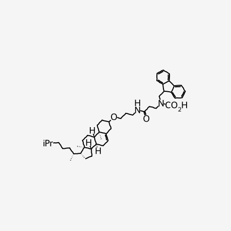 CC(C)CCC[C@@H](C)[C@H]1CC[C@H]2[C@@H]3CC=C4CC(OCCCNC(=O)CCN(CC5c6ccccc6-c6ccccc65)C(=O)O)CC[C@]4(C)[C@H]3CC[C@]12C